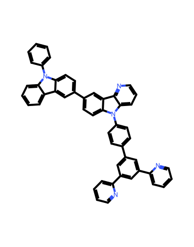 c1ccc(-n2c3ccccc3c3cc(-c4ccc5c(c4)c4ncccc4n5-c4ccc(-c5cc(-c6ccccn6)cc(-c6ccccn6)c5)cc4)ccc32)cc1